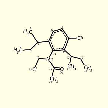 CCC(C)c1ccc(Cl)c(C(C)CC)c1N(CCl)C(C)=O